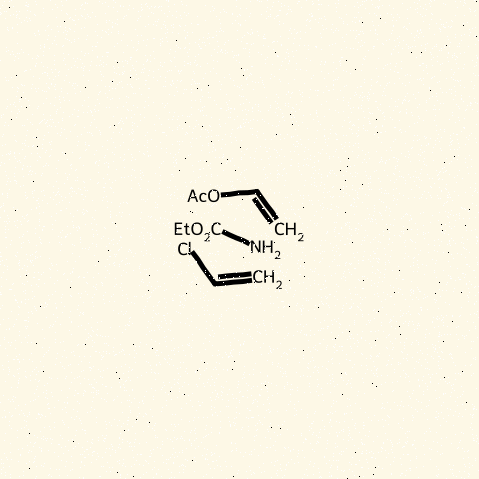 C=CCl.C=COC(C)=O.CCOC(N)=O